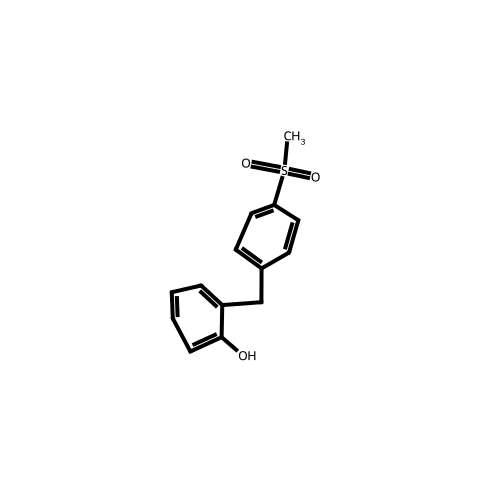 CS(=O)(=O)c1ccc(Cc2ccccc2O)cc1